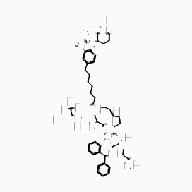 Cn1c(=O)n(C2CCC(=O)NC2=O)c2ccc(CCCCCCC(=O)N3CC[C@H]4CC[C@@H](C(=O)N[C@H](CCC(N)=O)C(=O)NC(c5ccccc5)c5ccccc5)N4C(=O)[C@@H](N)C3)cc21.O=C(O)C(F)(F)F